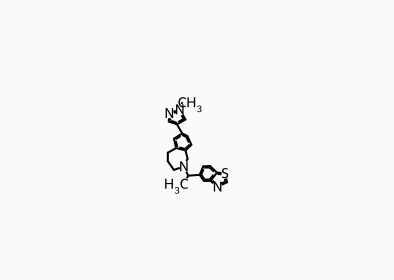 CC(c1ccc2scnc2c1)N1CCCc2cc(-c3cnn(C)c3)ccc2C1